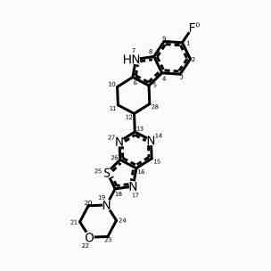 Fc1ccc2c3c([nH]c2c1)CCC(c1ncc2nc(N4CCOCC4)sc2n1)C3